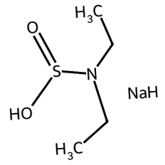 CCN(CC)S(=O)O.[NaH]